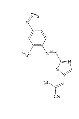 C=Nc1ccc(/N=N/c2ncc(C=C(C#N)C#N)s2)c(C)c1